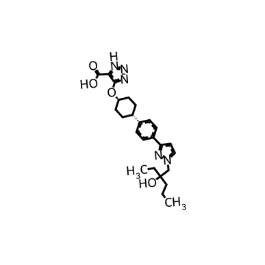 CCCC(O)(CC)Cn1ccc(-c2ccc([C@H]3CC[C@H](Oc4nn[nH]c4C(=O)O)CC3)cc2)n1